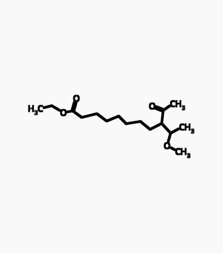 CCOC(=O)CCCCCCCC(C(C)=O)C(C)OC